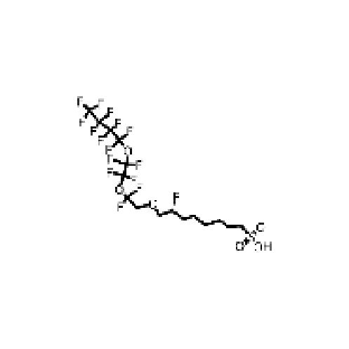 O=S(=O)(O)CCCCCC[C@@H](F)COCC(F)(F)OC(F)(F)C(F)(F)OC(F)(F)C(F)(F)C(F)(F)C(F)(F)F